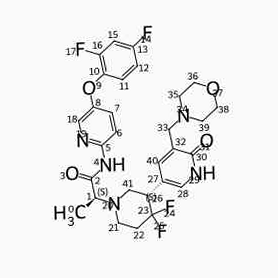 C[C@@H](C(=O)Nc1ccc(Oc2ccc(F)cc2F)cn1)N1CCC(F)(F)[C@@H](c2c[nH]c(=O)c(CN3CCOCC3)c2)C1